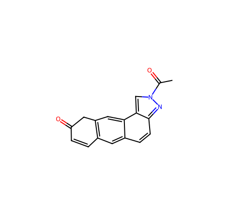 CC(=O)n1cc2c(ccc3cc4c(cc32)CC(=O)C=C4)n1